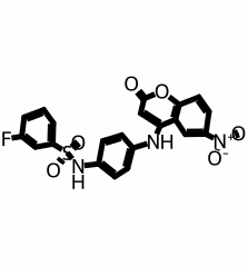 O=c1cc(Nc2ccc(NS(=O)(=O)c3cccc(F)c3)cc2)c2cc([N+](=O)[O-])ccc2o1